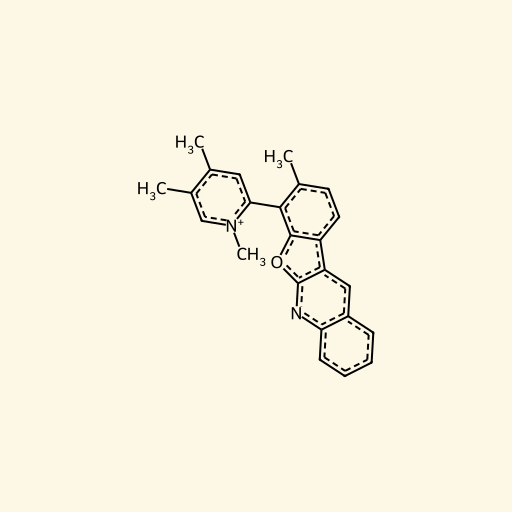 Cc1cc(-c2c(C)ccc3c2oc2nc4ccccc4cc23)[n+](C)cc1C